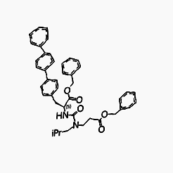 CC(C)CN(CCC(=O)OCc1ccccc1)C(=O)N[C@@H](Cc1ccc(-c2ccc(-c3ccccc3)cc2)cc1)C(=O)OCc1ccccc1